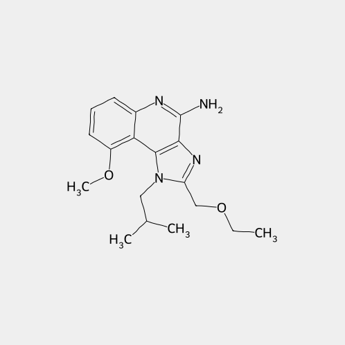 CCOCc1nc2c(N)nc3cccc(OC)c3c2n1CC(C)C